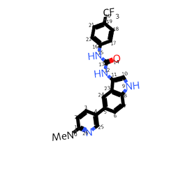 CNc1ccc(-c2ccc3[nH]cc(NC(=O)Nc4ccc(C(F)(F)F)cc4)c3c2)cn1